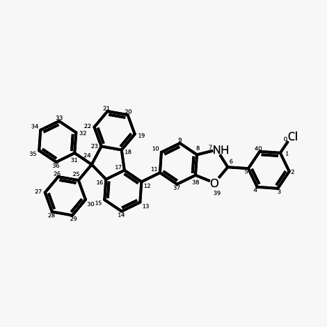 Clc1cccc(C2Nc3ccc(-c4cccc5c4-c4ccccc4C5(c4ccccc4)c4ccccc4)cc3O2)c1